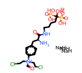 N[C@@H](Cc1ccc([N+](C=O)(CCCl)CCCl)cc1)C(=O)NCCCCC(O)(P(=O)(O)O)P(=O)(O)O.[NaH].[NaH].[NaH]